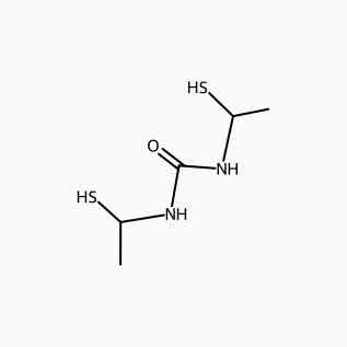 CC(S)NC(=O)NC(C)S